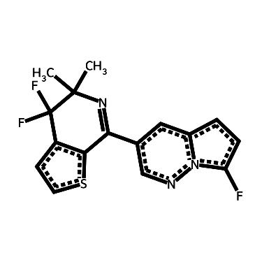 CC1(C)N=C(c2cnn3c(F)ccc3c2)c2sccc2C1(F)F